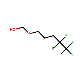 OCSCCCC(F)(F)C(F)(F)F